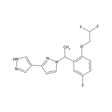 CC(c1cc(F)ccc1OCC(F)F)n1ccc(-c2cn[nH]c2)n1